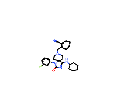 N#Cc1ccccc1CN1CCC2(CC1)C(NC1CCCCC1)=NC(=O)N2c1cccc(F)c1